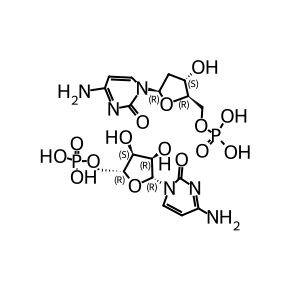 Nc1ccn([C@@H]2O[C@H](COP(=O)(O)O)[C@@H](O)[C@H]2O)c(=O)n1.Nc1ccn([C@H]2C[C@H](O)[C@@H](COP(=O)(O)O)O2)c(=O)n1